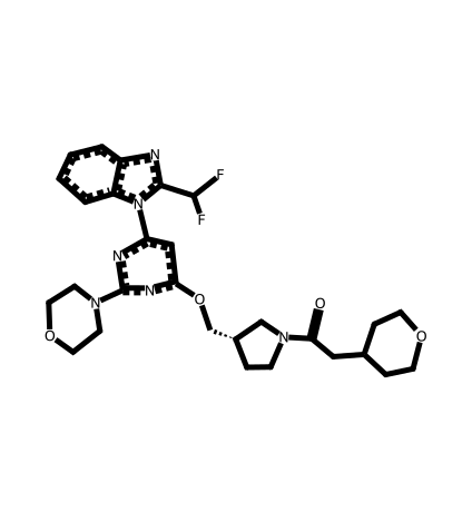 O=C(CC1CCOCC1)N1CC[C@H](COc2cc(-n3c(C(F)F)nc4ccccc43)nc(N3CCOCC3)n2)C1